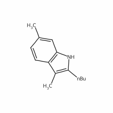 CCCCc1[nH]c2cc(C)ccc2c1C